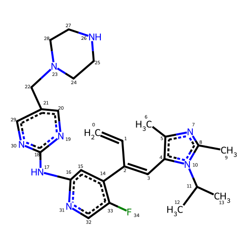 C=C/C(=C\c1c(C)nc(C)n1C(C)C)c1cc(Nc2ncc(CN3CCNCC3)cn2)ncc1F